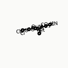 CCC(c1ccccc1)N1Cc2cc3c(cc2C[C@H]1C(=O)NC(Cc1ccc(-c2ccc(C#N)cc2)cc1)C(=O)O)OC[C@H](c1ccc(OCc2ccc(Cl)c(Cl)c2)cc1)O3